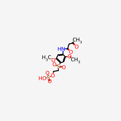 COc1cc(S(=O)(=O)CCOS(=O)(=O)O)c(OC)cc1NC(=O)CC(C)=O